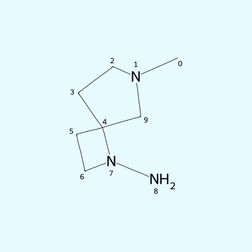 CN1CCC2(CCN2N)C1